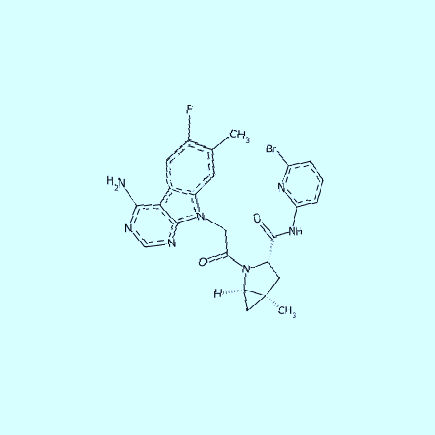 Cc1cc2c(cc1F)c1c(N)ncnc1n2CC(=O)N1[C@H](C(=O)Nc2cccc(Br)n2)C[C@@]2(C)C[C@@H]12